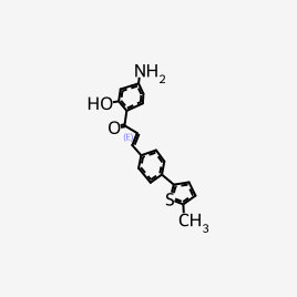 Cc1ccc(-c2ccc(/C=C/C(=O)c3ccc(N)cc3O)cc2)s1